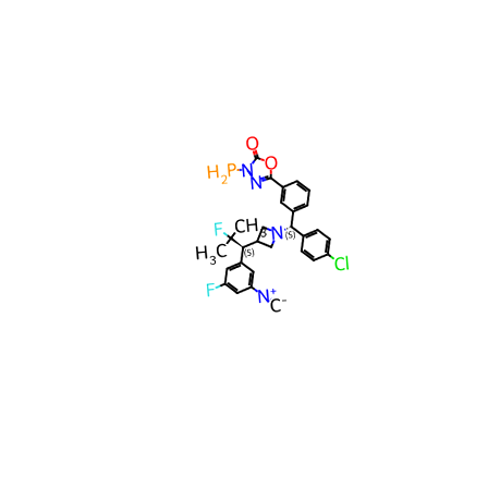 [C-]#[N+]c1cc(F)cc([C@H](C2CN([C@@H](c3ccc(Cl)cc3)c3cccc(-c4nn(P)c(=O)o4)c3)C2)C(C)(C)F)c1